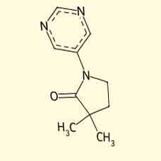 CC1(C)CCN(c2cncnc2)C1=O